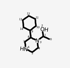 CC(O)N1CCNCC1C1CCCCC1